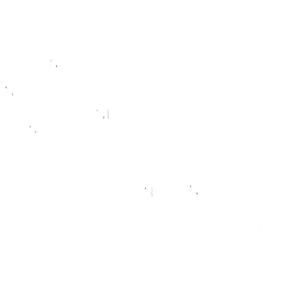 CC1CCN(c2ccc(C(=O)NS(=O)(=O)c3nccnc3N)cn2)CC1